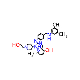 Cc1cc(C)cc(NCc2ccc3nc(NC4CCN(CCO)CC4)n(Cc4nc(C)ccc4O)c3c2)c1